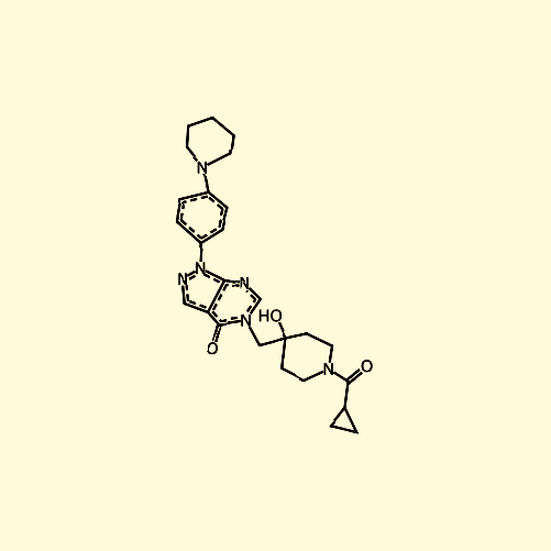 O=C(C1CC1)N1CCC(O)(Cn2cnc3c(cnn3-c3ccc(N4CCCCC4)cc3)c2=O)CC1